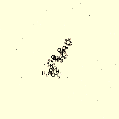 CC(C)(C)OC(=O)N1CCC[C@@H](C(=O)NNC(=O)C2CCC3CN2C(=O)N3OCc2ccccc2)C1